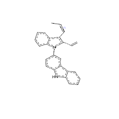 C=Cc1c(/C=C\C)c2ccccc2n1-c1ccc2[nH]c3ccccc3c2c1